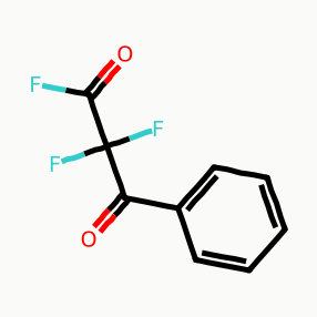 O=C(F)C(F)(F)C(=O)c1ccccc1